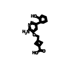 Nc1nnc(-c2ccccc2O)cc1OCC12CC(C(=O)O)(C1)C2